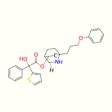 O=C(O[C@@H]1CC2(CCCOc3ccccc3)CCC1CN2)C(O)(c1ccccc1)c1cccs1